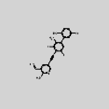 N=Cc1cc(C#Cc2c(F)cc(-c3cc(Br)ccc3S)c(N)c2F)cnc1N